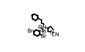 N#CN1CC[C@@H](N(CCCc2ccccc2)S(=O)(=O)c2cc(Br)ccc2Br)C1